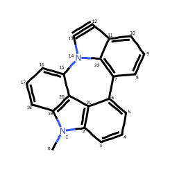 Cn1c2cccc3c4cccc5c#cn(c6cccc1c6c32)c54